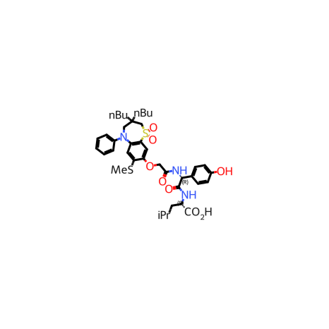 CCCCC1(CCCC)CN(c2ccccc2)c2cc(SC)c(OCC(=O)N[C@@H](C(=O)N[C@@H](CC(C)C)C(=O)O)c3ccc(O)cc3)cc2S(=O)(=O)C1